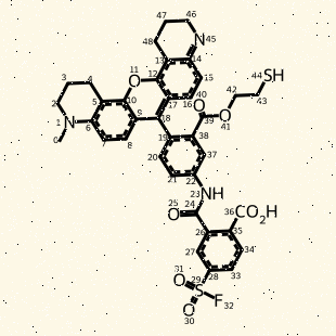 CN1CCCc2c1ccc1c2Oc2c3c(ccc2=C1c1ccc(NC(=O)c2cc(S(=O)(=O)F)ccc2C(=O)O)cc1C(=O)OCCS)=NCCC3